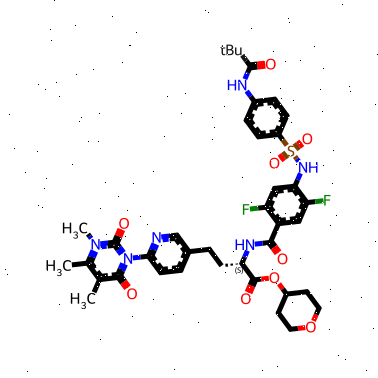 Cc1c(C)n(C)c(=O)n(-c2ccc(CC[C@H](NC(=O)c3cc(F)c(NS(=O)(=O)c4ccc(NC(=O)C(C)(C)C)cc4)cc3F)C(=O)OC3CCOCC3)cn2)c1=O